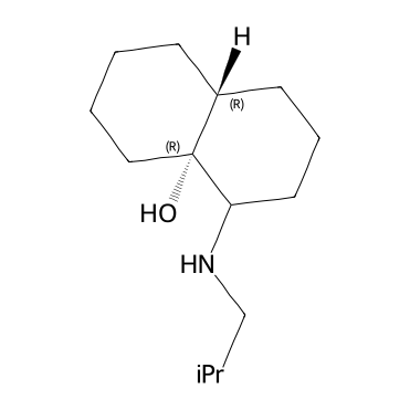 CC(C)CNC1CCC[C@H]2CCCC[C@]12O